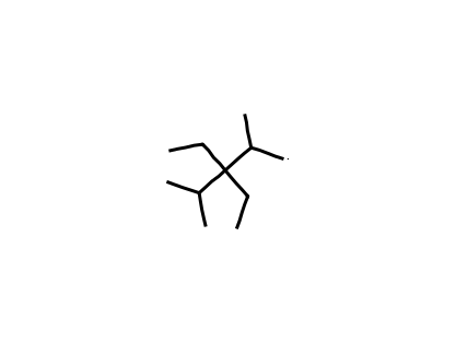 [CH2]C(C)C(CC)(CC)C(C)C